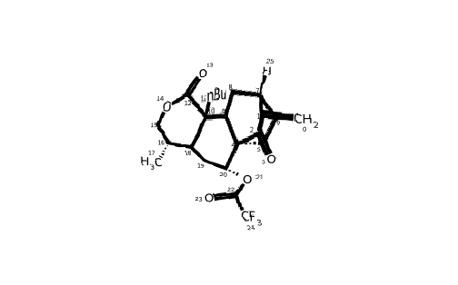 C=C1C(=O)[C@]23CC[C@H]1CC2C1(CCCC)C(=O)OC[C@@H](C)C1C[C@H]3OC(=O)C(F)(F)F